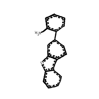 Nc1ccccc1-c1ccc2c(c1)sc1ccccc12